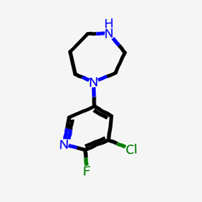 Fc1ncc(N2CCCNCC2)cc1Cl